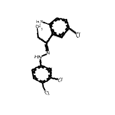 CC/C(=N\Nc1ccc(Cl)c(Cl)c1)c1cc(Cl)ccc1N